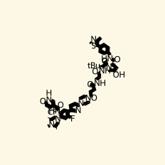 Cc1ncsc1-c1ccc(CNC(=O)[C@@H]2C[C@@H](O)CN2C(=O)[C@@H](NC(=O)CCNC(=O)CCC(=O)N2CCN(c3ccc(-c4cc(NC(=O)c5c[nH]c(=O)cc5C(F)(F)F)c(N5C[C@@H](C)N(C)[C@@H](C)C5)cc4F)cn3)CC2)C(C)(C)C)cc1